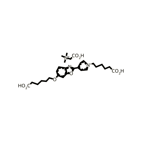 C[N+](C)(C)CC(=O)O.O=C(O)CCCCCOc1ccc2nc(-c3cc[n+](CCCCCC(=O)O)cc3)oc2c1